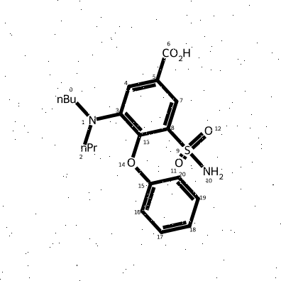 CCCCN(CCC)c1cc(C(=O)O)cc(S(N)(=O)=O)c1Oc1ccccc1